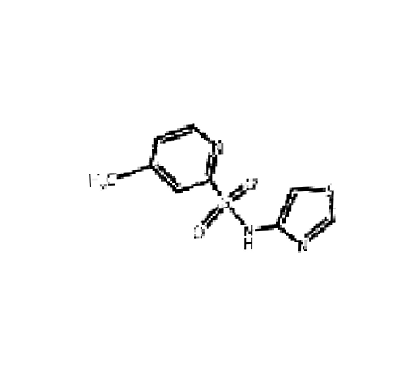 Cc1ccnc(S(=O)(=O)Nc2cscn2)c1